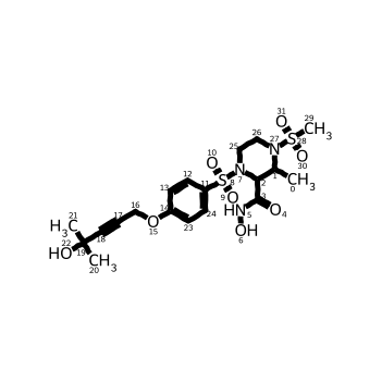 CC1C(C(=O)NO)N(S(=O)(=O)c2ccc(OCC#CC(C)(C)O)cc2)CCN1S(C)(=O)=O